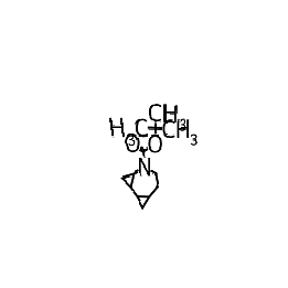 CC(C)(C)OC(=O)N1CCC2CC2C2CC21